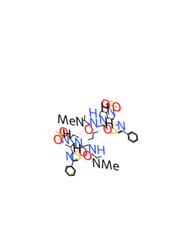 CN[C@@H](C)C(=O)N[C@@H](CCCC[C@H](NC(=O)[C@H](C)NC)C(=O)N1CC[C@@H]2[C@H]1[C@@H](c1nc(-c3ccccc3)cs1)CN2S(C)(=O)=O)C(=O)N1CC[C@@H]2[C@H]1[C@@H](c1nc(-c3ccccc3)cs1)CN2S(C)(=O)=O